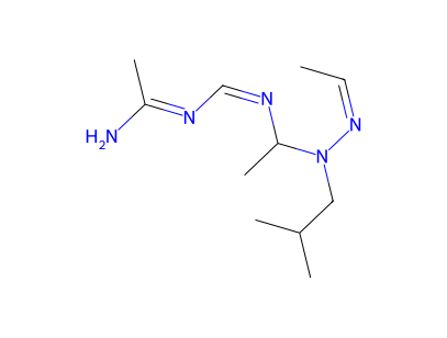 C/C=N\N(CC(C)C)C(C)/N=C\N=C(/C)N